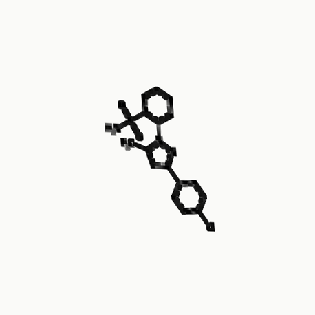 NS(=O)(=O)c1ccccc1-n1nc(-c2ccc(Cl)cc2)cc1C(F)(F)F